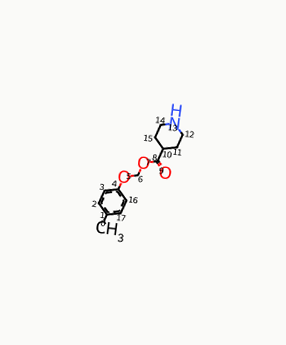 Cc1ccc(OCOC(=O)C2CCNCC2)cc1